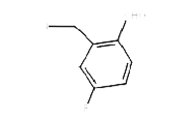 O=Cc1ccc(F)cc1CI